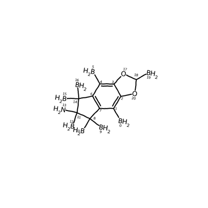 Bc1c2c(c(B)c3c1C(B)(B)C(B)(N)C3(B)B)OC(B)O2